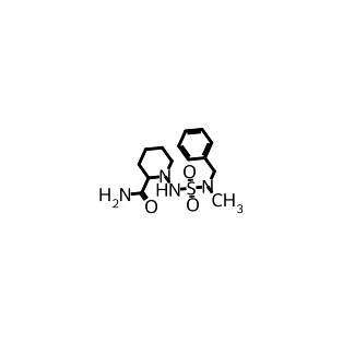 CN(Cc1ccccc1)S(=O)(=O)NN1CCCCC1C(N)=O